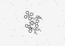 CC(C)(C)c1ccc2c3ccc(C(C)(C)C)cc3n(-c3nc(-c4ccc([Si](c5ccccc5)(c5ccccc5)c5ccccc5)cc4)nc(-n4c5ccccc5n5c6ccccc6nc45)n3)c2c1